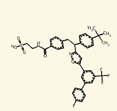 CC(C)(C)c1ccc(C(Cc2ccc(C(=O)NCCS(=O)(=O)O)cc2)c2cc(-c3cc(-c4ccc(F)cc4)cc(C(F)(F)F)c3)on2)cc1